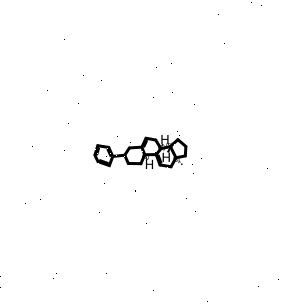 C[C@]12CC=C3[C@H]4CCC(c5ccccc5)CC4=CC[C@H]3[C@@H]1CCC2